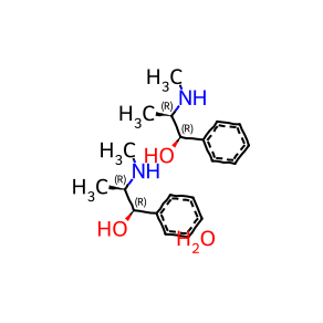 CN[C@H](C)[C@H](O)c1ccccc1.CN[C@H](C)[C@H](O)c1ccccc1.O